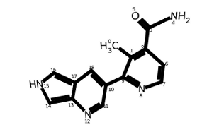 Cc1c(C(N)=O)ccnc1-c1cnc2c[nH]cc2c1